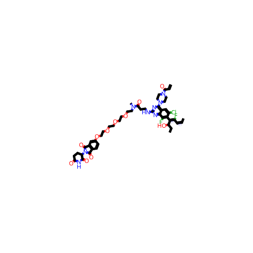 C=CC(=O)N1CCN(c2nc(NCCC(=O)N(C)CCOCCOCCOCCOc3ccc4c(c3)C(=O)N(C3CCC(=O)NC3=O)C4=O)nc3c(F)c(/C(=C(F)/C=C\C)C(O)CC)c(Cl)cc23)CC1